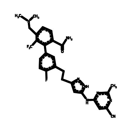 Cc1nc(C#N)cc(Nc2cc(CCc3cc(-c4c(C(N)=O)ccc(CN(C)C)c4C(F)(F)F)ccc3F)n[nH]2)n1